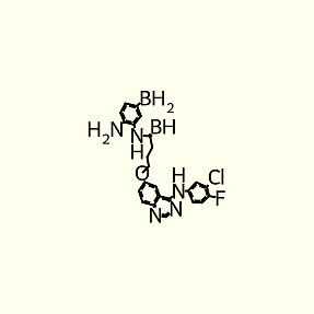 B=C(CCCOc1ccc2ncnc(Nc3ccc(F)c(Cl)c3)c2c1)Nc1cc(B)ccc1N